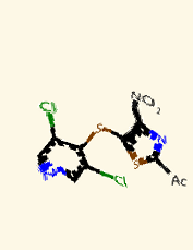 CC(=O)c1nc([N+](=O)[O-])c(Sc2c(Cl)cncc2Cl)s1